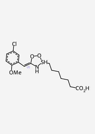 COc1ccc(Cl)cc1/C=C1/N[SH](CCCCCCC(=O)O)OO1